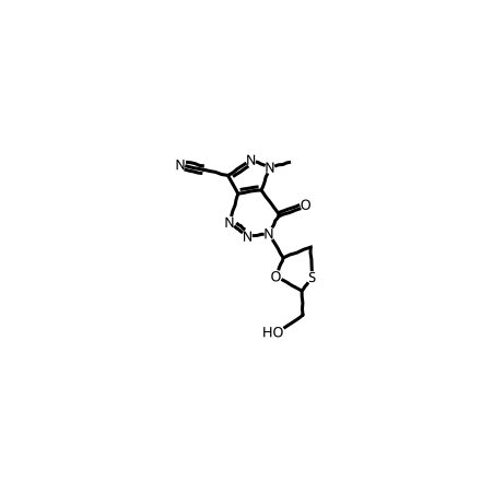 Cn1nc(C#N)c2nnn(C3CSC(CO)O3)c(=O)c21